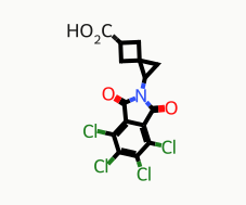 O=C(O)C1CC2(C1)CC2N1C(=O)c2c(Cl)c(Cl)c(Cl)c(Cl)c2C1=O